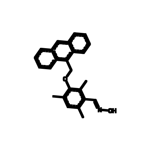 Cc1cc(C)c(OCc2c3ccccc3cc3ccccc23)c(C)c1/C=N/O